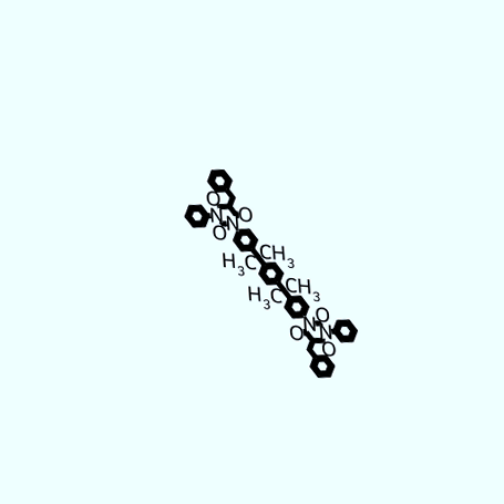 CC(C)(c1ccc(N2C(=O)C(Cc3ccccc3)C(=O)N(c3ccccc3)C2=O)cc1)c1ccc(C(C)(C)c2ccc(N3C(=O)C(Cc4ccccc4)C(=O)N(c4ccccc4)C3=O)cc2)cc1